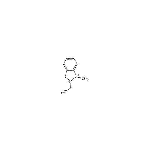 C[C@@H]1c2ccccc2C[C@@H]1CO